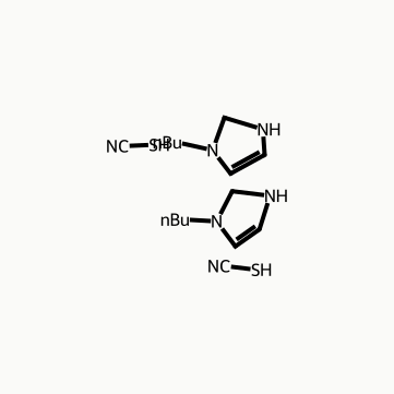 CCCCN1C=CNC1.CCCCN1C=CNC1.N#CS.N#CS